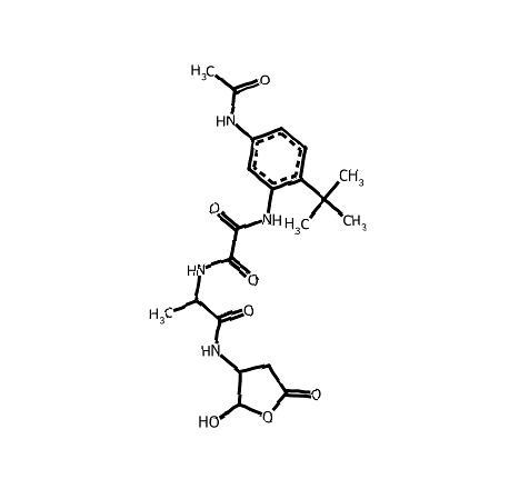 CC(=O)Nc1ccc(C(C)(C)C)c(NC(=O)C(=O)NC(C)C(=O)NC2CC(=O)OC2O)c1